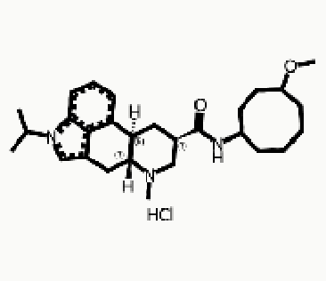 COC1CCCCC(NC(=O)[C@@H]2C[C@@H]3c4cccc5c4c(cn5C(C)C)C[C@H]3N(C)C2)CC1.Cl